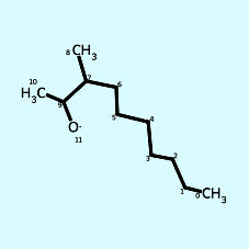 CCCCCCCC(C)C(C)[O]